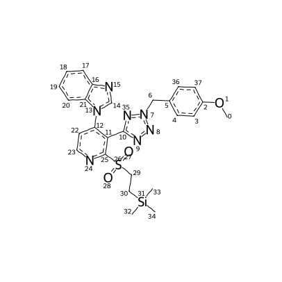 COc1ccc(Cn2nnc(-c3c(-n4cnc5ccccc54)ccnc3S(=O)(=O)CC[Si](C)(C)C)n2)cc1